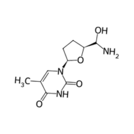 Cc1cn([C@H]2CC[C@@H](C(N)O)O2)c(=O)[nH]c1=O